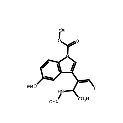 COc1ccc2c(c1)c(C(=CF)C(NC=O)C(=O)O)cn2C(=O)OC(C)(C)C